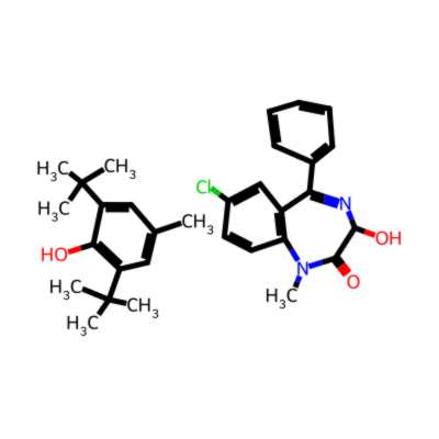 CN1C(=O)C(O)N=C(c2ccccc2)c2cc(Cl)ccc21.Cc1cc(C(C)(C)C)c(O)c(C(C)(C)C)c1